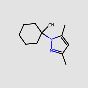 Cc1cc(C)n(C2(C#N)CCCCC2)n1